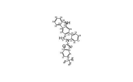 CN(c1nc2cc(C(F)(F)F)ccc2o1)c1ccccc1-c1ccc2c(c1)[nH]c1ccccc12